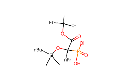 CCCC[Si](C)(C)OC(CCC)(C(=O)OC(C)(CC)CC)P(=O)(O)O